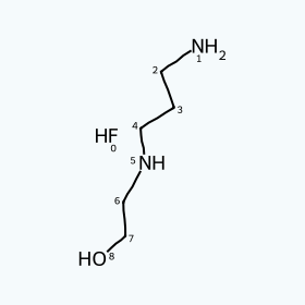 F.NCCCNCCO